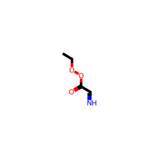 CCOOC(=O)C=N